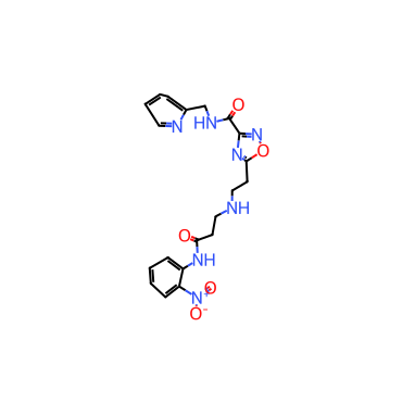 O=C(CCNCCc1nc(C(=O)NCc2ccccn2)no1)Nc1ccccc1[N+](=O)[O-]